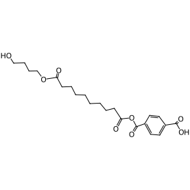 O=C(CCCCCCCCC(=O)OC(=O)c1ccc(C(=O)O)cc1)OCCCCO